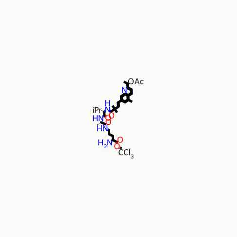 CC(=O)O[C@H](C)c1ccc2c(C)cc(/C=C/C(C)(C)C(=O)N[C@H](C(=O)N[C@@H](C)C(=O)NCCC[C@H](N)C(=O)OCC(Cl)(Cl)Cl)C(C)C)cc2n1